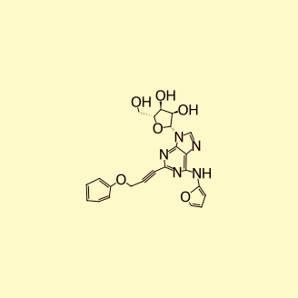 OC[C@H]1O[C@@H](n2cnc3c(Nc4ccco4)nc(C#CCOc4ccccc4)nc32)[C@H](O)[C@@H]1O